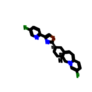 FC1=CN2C[C@H]3CC[C@H](c4nc(-c5ccc(F)cn5)cs4)CC3=CC=C2C=C1